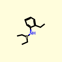 CCB(CC)Nc1ccccc1CC